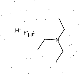 CCN(CC)CC.F.[F-].[H+]